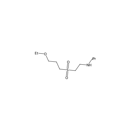 CCOCCCS(=O)(=O)CCNC(C)C